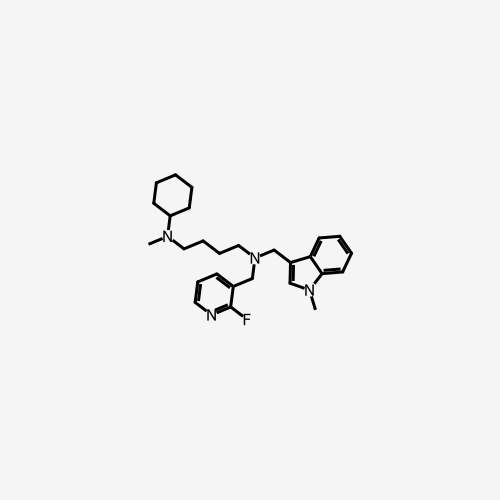 CN(CCCCN(Cc1cccnc1F)Cc1cn(C)c2ccccc12)C1CCCCC1